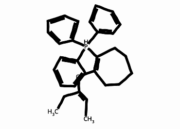 CC=C(CC)OC1=C([PH](c2ccccc2)(c2ccccc2)c2ccccc2)CCCCC1